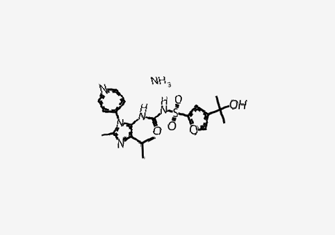 Cc1nc(C(C)C)c(NC(=O)NS(=O)(=O)c2cc(C(C)(C)O)co2)n1-c1ccncc1.N